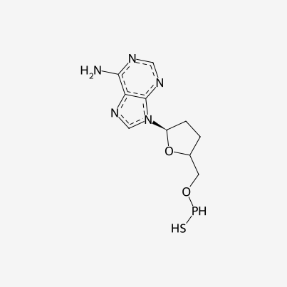 Nc1ncnc2c1ncn2[C@H]1CCC(COPS)O1